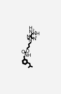 C=Nc1c(C(N)NC)ncn1CCCCOC(=O)NCc1cccc(CC(C)C)c1